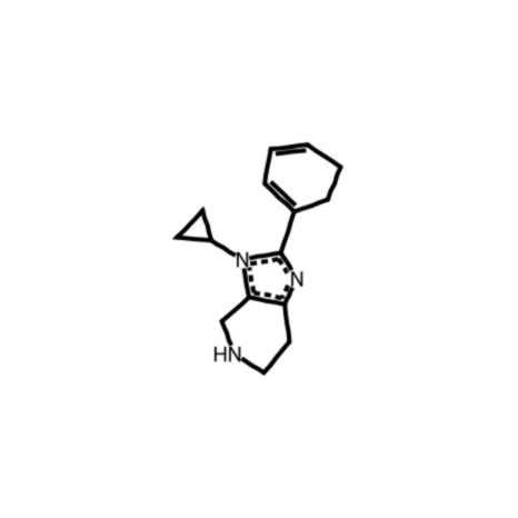 C1=CCCC(c2nc3c(n2C2CC2)CNCC3)=C1